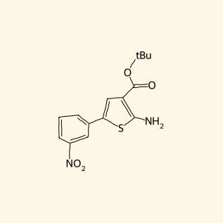 CC(C)(C)OC(=O)c1cc(-c2cccc([N+](=O)[O-])c2)sc1N